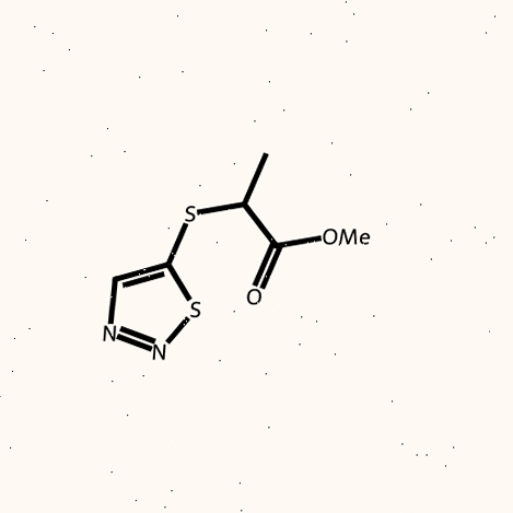 COC(=O)C(C)Sc1cnns1